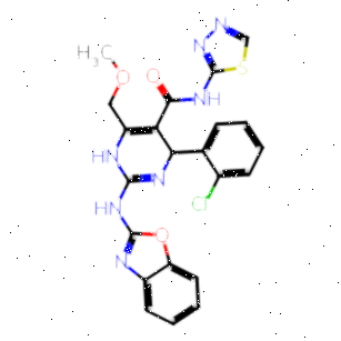 COCC1=C(C(=O)Nc2nncs2)C(c2ccccc2Cl)N=C(Nc2nc3ccccc3o2)N1